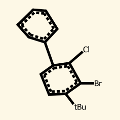 CC(C)(C)c1ccc(-c2ccccc2)c(Cl)c1Br